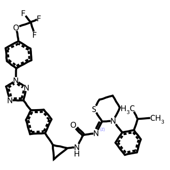 CC(C)c1ccccc1N1CCCS/C1=N\C(=O)NC1CC1c1ccc(-c2ncn(-c3ccc(OC(F)(F)F)cc3)n2)cc1